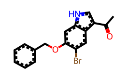 CC(=O)c1c[nH]c2cc(OCc3ccccc3)c(Br)cc12